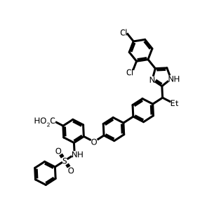 CCC(c1ccc(-c2ccc(Oc3ccc(C(=O)O)cc3NS(=O)(=O)c3ccccc3)cc2)cc1)c1nc(-c2ccc(Cl)cc2Cl)c[nH]1